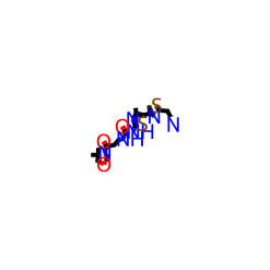 Cc1nc(NC(=O)NCCC(=O)N2COCC2(C)C)sc1-c1csc(CC#N)n1